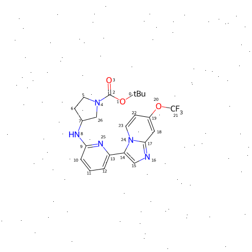 CC(C)(C)OC(=O)N1CCC(Nc2cccc(-c3cnc4cc(OC(F)(F)F)ccn34)n2)C1